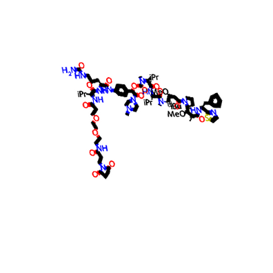 CC[C@H](C)[C@@H]([C@@H](CC(=O)N1CCC[C@H]1[C@H](OC)[C@@H](C)C(=O)N[C@@H](Cc1ccccc1)c1nccs1)OC)N(C)C(=O)[C@@H](NC(=O)[C@H](C(C)C)N(C)C(=O)OC(C(=O)N1CCN(C)CC1)c1ccc(NC(=O)[C@H](CCCNC(N)=O)NC(=O)[C@@H](NC(=O)CCOCCOCCNC(=O)CCN2C(=O)CCC2=O)C(C)C)cc1)C(C)C